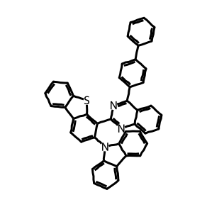 c1ccc(-c2ccc(-c3nc(-c4c(-n5c6ccccc6c6ccccc65)ccc5c4sc4ccccc45)nc4ccccc34)cc2)cc1